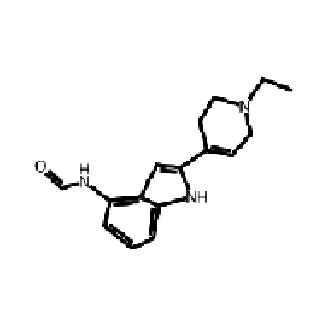 CCN1CC=C(c2cc3c(NC=O)cccc3[nH]2)CC1